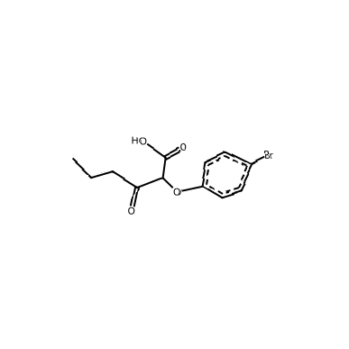 CCCC(=O)C(Oc1ccc(Br)cc1)C(=O)O